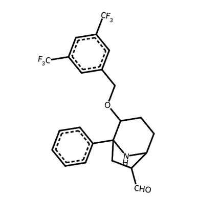 O=CC1CC2(c3ccccc3)NC1CCC2OCc1cc(C(F)(F)F)cc(C(F)(F)F)c1